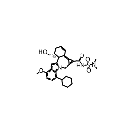 COc1ccc(C2CCCCC2)c2c1cc1n2CC2=C(C(=O)NS(=O)(=O)N(C)C)C2=C2C=CC[C@@H](CO)C21